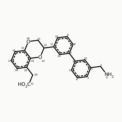 NCc1cccc(-c2cccc(C3COc4cccc(CC(=O)O)c4O3)c2)c1